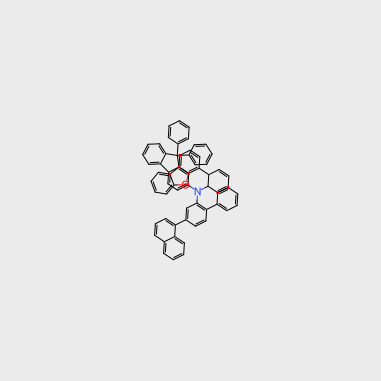 C1=CC(c2cccc3c2oc2ccccc23)C(N(c2ccc3c(c2)C(c2ccccc2)(c2ccccc2)c2ccccc2-3)c2cc(-c3cccc4ccccc34)ccc2-c2ccccc2)C=C1